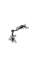 CNC(=O)C(=O)NCCCCc1ccccc1CCCOCC(=O)N[C@]1(C)C=CC(C(=O)O)=CC1